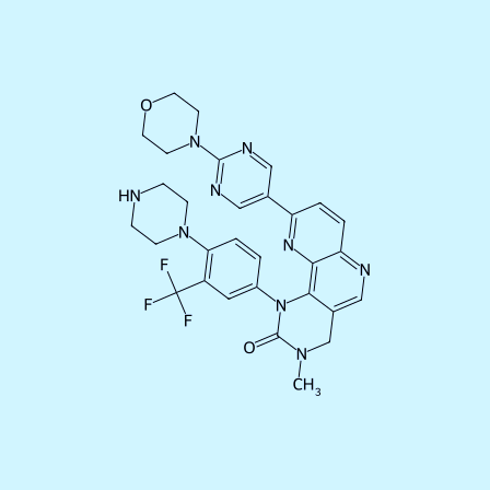 CN1Cc2cnc3ccc(-c4cnc(N5CCOCC5)nc4)nc3c2N(c2ccc(N3CCNCC3)c(C(F)(F)F)c2)C1=O